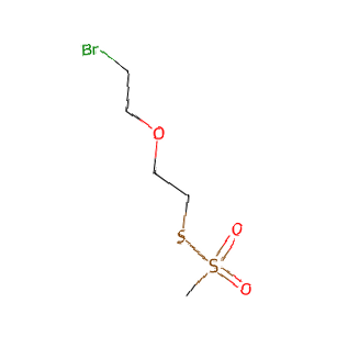 CS(=O)(=O)SCCOCCBr